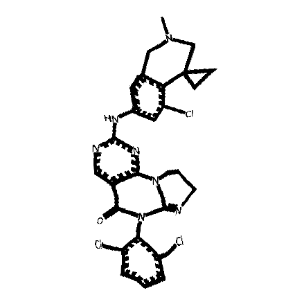 CN1Cc2cc(Nc3ncc4c(n3)N3CCN=C3N(c3c(Cl)cccc3Cl)C4=O)cc(Cl)c2C2(CC2)C1